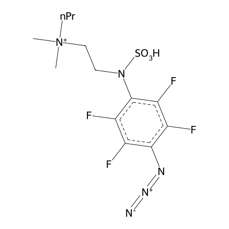 CCC[N+](C)(C)CCN(c1c(F)c(F)c(N=[N+]=[N-])c(F)c1F)S(=O)(=O)O